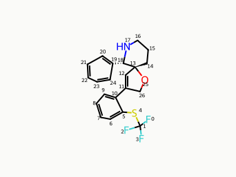 FC(F)(F)Sc1ccccc1C1=C[C@@]2(CCCN[C@H]2c2ccccc2)OC1